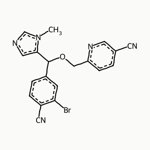 Cn1cncc1C(OCc1ccc(C#N)cn1)c1ccc(C#N)c(Br)c1